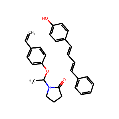 C=Cc1ccc(OC(C)N2CCCC2=O)cc1.Oc1ccc(C=CC=Cc2ccccc2)cc1